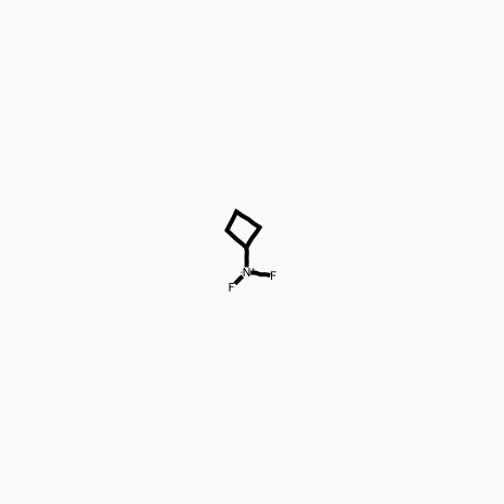 F[N+](F)C1CCC1